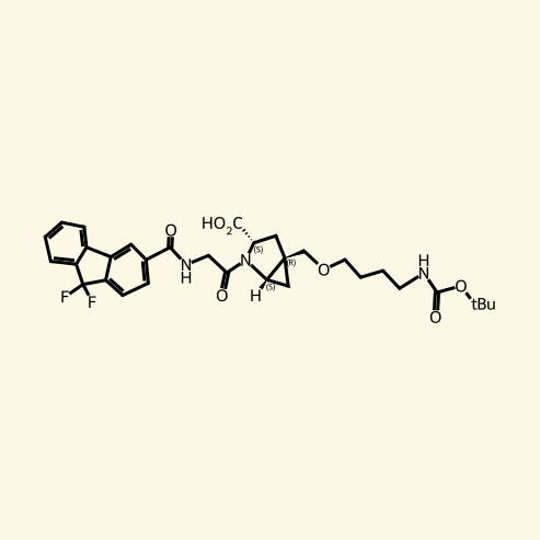 CC(C)(C)OC(=O)NCCCCOC[C@@]12C[C@@H]1N(C(=O)CNC(=O)c1ccc3c(c1)-c1ccccc1C3(F)F)[C@H](C(=O)O)C2